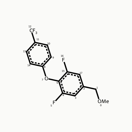 COCc1cc(F)c(Oc2ccc(C(F)(F)F)cc2)c(F)c1